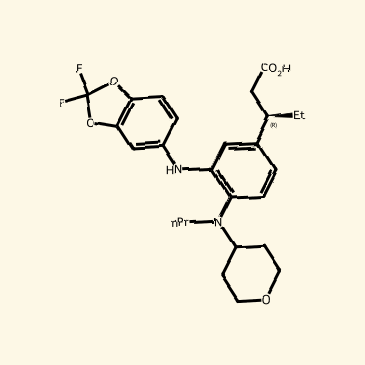 CCCN(c1ccc([C@H](CC)CC(=O)O)cc1Nc1ccc2c(c1)OC(F)(F)O2)C1CCOCC1